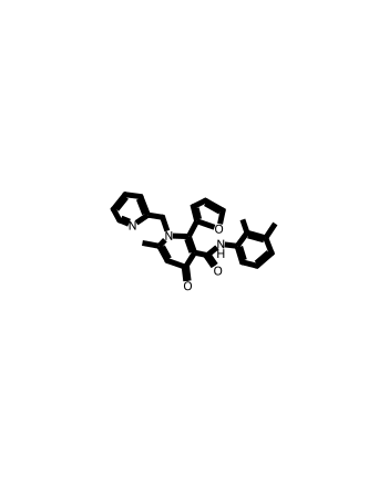 Cc1cccc(NC(=O)c2c(-c3ccco3)n(Cc3ccccn3)c(C)cc2=O)c1C